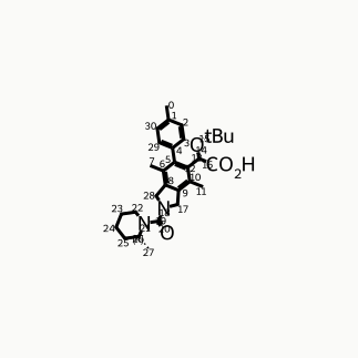 Cc1ccc(-c2c(C)c3c(c(C)c2C(OC(C)(C)C)C(=O)O)CN(C(=O)N2CCCC[C@H]2C)C3)cc1